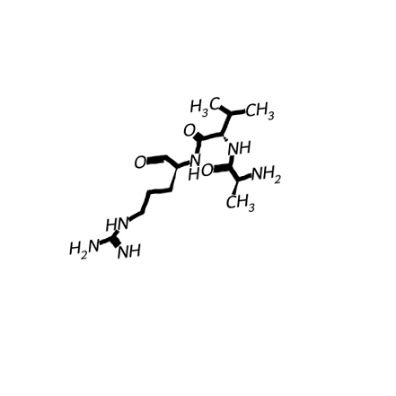 CC(C)[C@H](NC(=O)[C@H](C)N)C(=O)N[C@H](C=O)CCCNC(=N)N